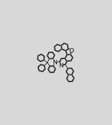 c1ccc(C2(c3ccccc3)c3ccccc3N(c3cc4c(ccc5oc6ccc7ccccc7c6c54)c(-c4ccc5ccccc5c4)n3)c3ccccc32)cc1